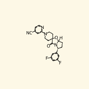 N#Cc1ccnc(N2CCC3(CC2)O[C@@H]2CC[C@@H](c4cc(F)cc(F)c4)N2C3=O)c1